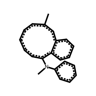 Cc1cccccc(N(C)c2ccccc2)c2ccccc2c1